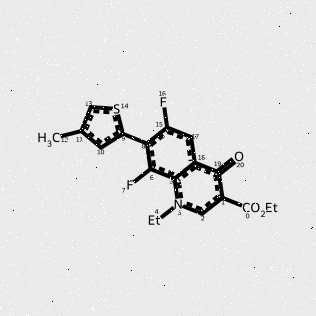 CCOC(=O)c1cn(CC)c2c(F)c(-c3cc(C)cs3)c(F)cc2c1=O